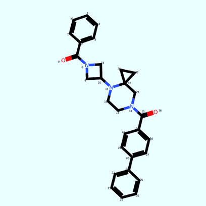 O=C(c1ccccc1)N1CC(N2CCN(C(=O)c3ccc(-c4ccccc4)cc3)CC23CC3)C1